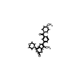 Cc1c(-c2cccc(C(=O)N3CCN(C)CC3)c2)sc2c(N3CCOCC3)nc(Cl)nc12